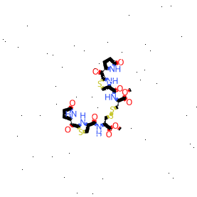 COC(=O)[C@H](CSSC[C@H](NC(=O)C1CSC(C(=O)[C@@H]2CCC(=O)N2)N1)C(=O)OC)NC(=O)C1CSC(C(=O)[C@@H]2CCC(=O)N2)N1